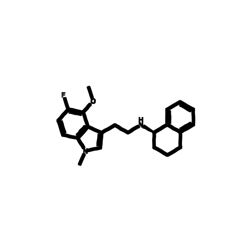 COc1c(F)ccc2c1c(CCN[C@@H]1CCCc3ccccc31)cn2C